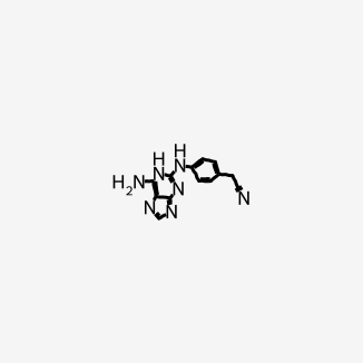 N#CCc1ccc(Nc2nc3ncnc-3c(N)[nH]2)cc1